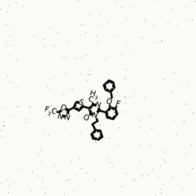 Cc1nc(-c2cccc(F)c2OCc2ccccc2)n(CCc2ccccc2)c(=O)c1-c1cc(-c2nnc(C(F)(F)F)o2)cs1